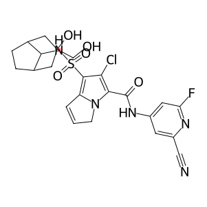 N#Cc1cc(NC(=O)c2c(Cl)c(S(=O)(=O)NC3C4CCC3CC(O)(CO)C4)c3n2CC=C3)cc(F)n1